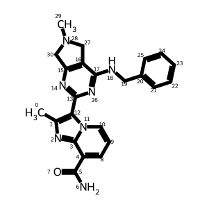 Cc1nc2c(C(N)=O)cccn2c1-c1nc2c(c(NCc3ccccc3)n1)CN(C)C2